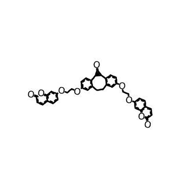 O=c1ccc2ccc(OCCOc3ccc4c(c3)CCc3cc(OCCOc5ccc6ccc(=O)oc6c5)ccc3-c3c-4c3=O)cc2o1